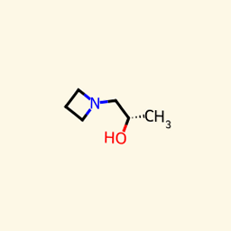 C[C@H](O)CN1CCC1